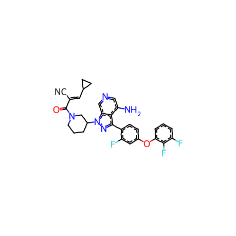 N#CC(=CC1CC1)C(=O)N1CCCC(n2nc(-c3ccc(Oc4cccc(F)c4F)cc3F)c3c(N)cncc32)C1